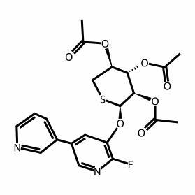 CC(=O)O[C@@H]1[C@@H](OC(C)=O)[C@@H](Oc2cc(-c3cccnc3)cnc2F)SC[C@H]1OC(C)=O